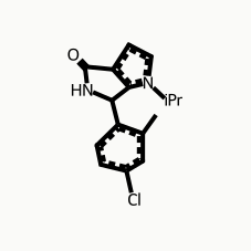 Cc1cc(Cl)ccc1C1NC(=O)c2ccn(C(C)C)c21